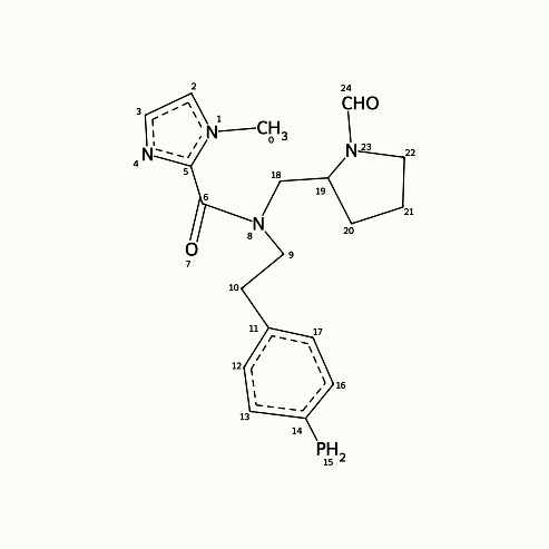 Cn1ccnc1C(=O)N(CCc1ccc(P)cc1)CC1CCCN1C=O